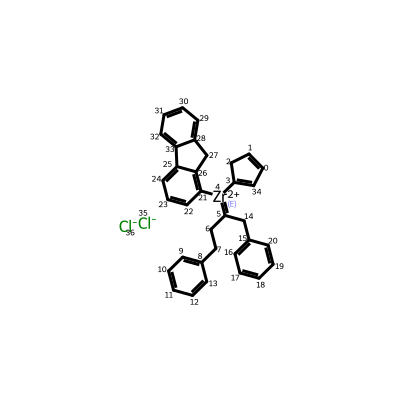 C1=CC[C](/[Zr+2](=[C](/CCc2ccccc2)Cc2ccccc2)[c]2cccc3c2Cc2ccccc2-3)=C1.[Cl-].[Cl-]